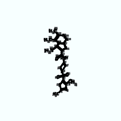 Cc1nc(C)c(S(=O)(=O)N2CC(NC(=O)c3sc4nnc(C)c(C)c4c3N)C2)s1